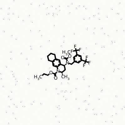 CCCOC(=O)N1c2cc3c(cc2[C@@H](N(Cc2cc(C(F)(F)F)cc(C(F)(F)F)c2)C(=O)OC)C[C@H]1C)CCCC3